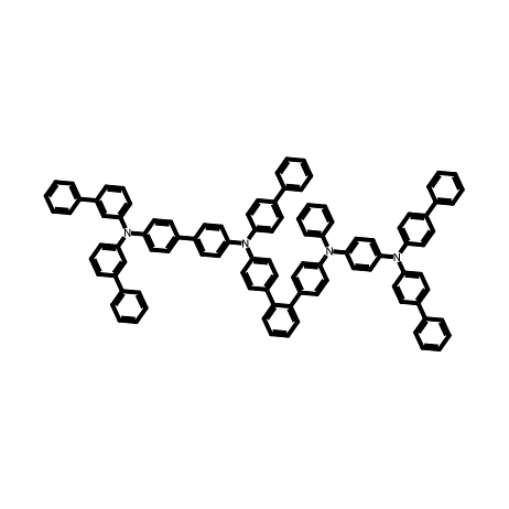 c1ccc(-c2ccc(N(c3ccc(-c4ccc(N(c5cccc(-c6ccccc6)c5)c5cccc(-c6ccccc6)c5)cc4)cc3)c3ccc(-c4ccccc4-c4ccc(N(c5ccccc5)c5ccc(N(c6ccc(-c7ccccc7)cc6)c6ccc(-c7ccccc7)cc6)cc5)cc4)cc3)cc2)cc1